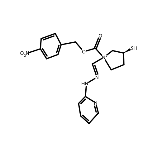 O=C(OCc1ccc([N+](=O)[O-])cc1)[N+]1(C=NNc2ccccn2)CC[C@H](S)C1